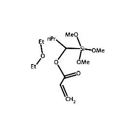 C=CC(=O)OC(CCC)[Si](OC)(OC)OC.CCOCC